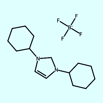 C1=CN(C2CCCCC2)CN1C1CCCCC1.F[B-](F)(F)F